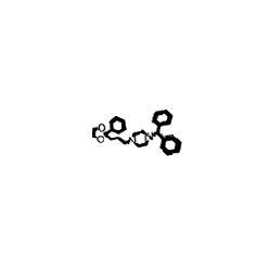 c1ccc(C(c2ccccc2)N2CCN(CCCC3(c4ccccc4)OCCO3)CC2)cc1